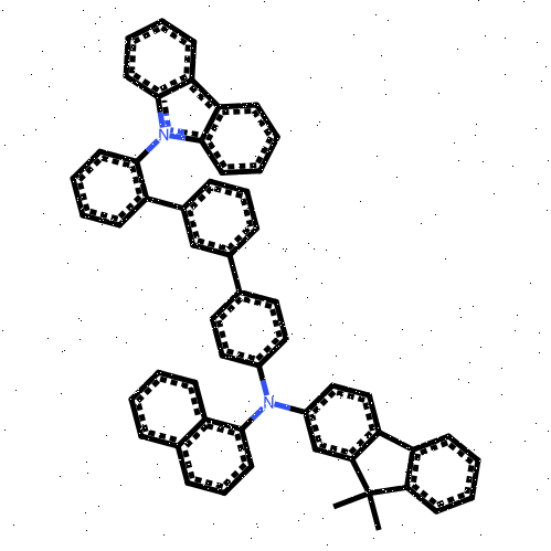 CC1(C)c2ccccc2-c2ccc(N(c3ccc(-c4cccc(-c5ccccc5-n5c6ccccc6c6ccccc65)c4)cc3)c3cccc4ccccc34)cc21